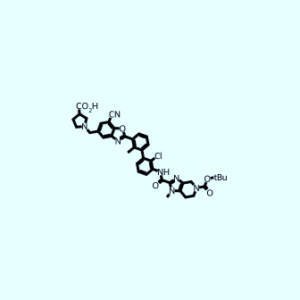 Cc1c(-c2nc3cc(CN4CCC(C(=O)O)C4)cc(C#N)c3o2)cccc1-c1cccc(NC(=O)c2nc3c(n2C)CCN(C(=O)OC(C)(C)C)C3)c1Cl